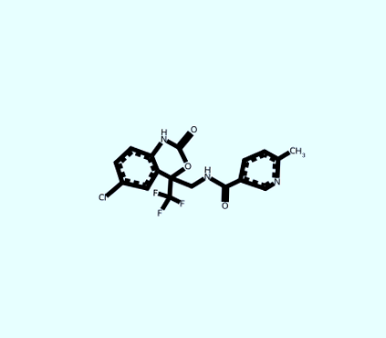 Cc1ccc(C(=O)NCC2(C(F)(F)F)OC(=O)Nc3ccc(Cl)cc32)cn1